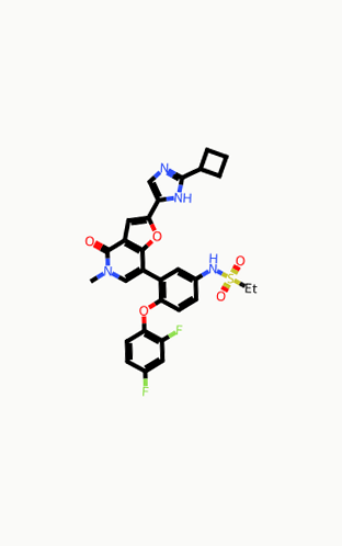 CCS(=O)(=O)Nc1ccc(Oc2ccc(F)cc2F)c(-c2cn(C)c(=O)c3cc(-c4cnc(C5CCC5)[nH]4)oc23)c1